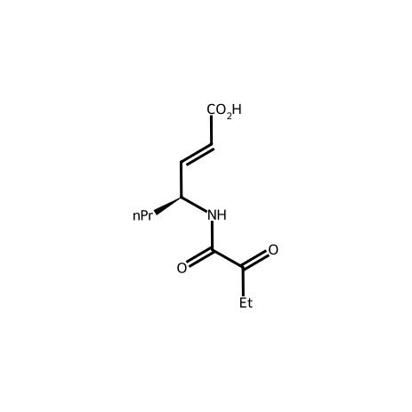 CCC[C@@H](/C=C/C(=O)O)NC(=O)C(=O)CC